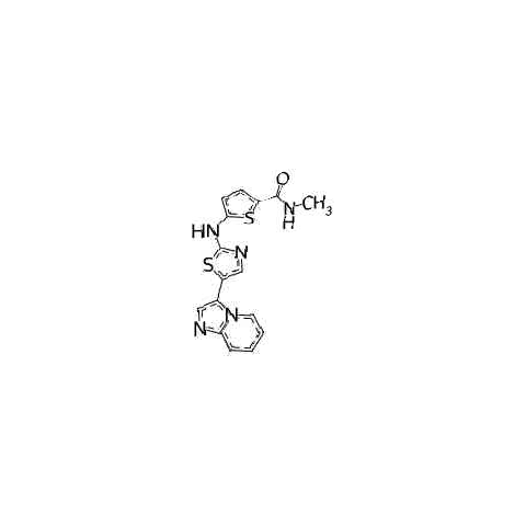 CNC(=O)c1ccc(Nc2ncc(-c3cnc4ccccn34)s2)s1